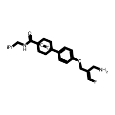 CC(C)CNC(=O)C12CCC(c3ccc(OCC(=CF)CN)cc3)(CC1)CC2